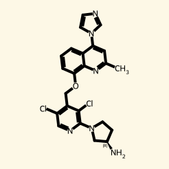 Cc1cc(-n2ccnc2)c2cccc(OCc3c(Cl)cnc(N4CC[C@@H](N)C4)c3Cl)c2n1